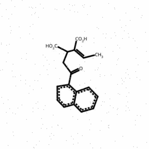 CC=C(C(=O)O)C(CC(=O)c1cccc2ccccc12)C(=O)O